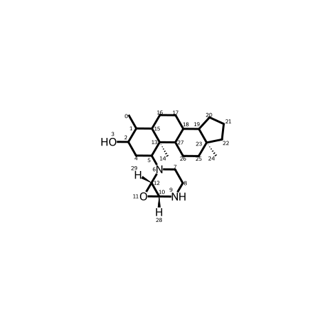 CC1C(O)CC(N2CCN[C@@H]3O[C@@H]32)[C@@]2(C)C1CCC1C3CCC[C@@]3(C)CCC12